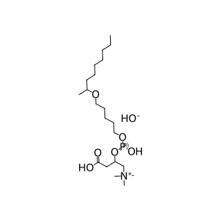 CCCCCCCC(C)OCCCCCO[P@](O)OC(CC(=O)O)C[N+](C)(C)C.[OH-]